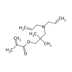 C=CCN(CC=C)CC(C)(C)COC(=O)C(=C)C